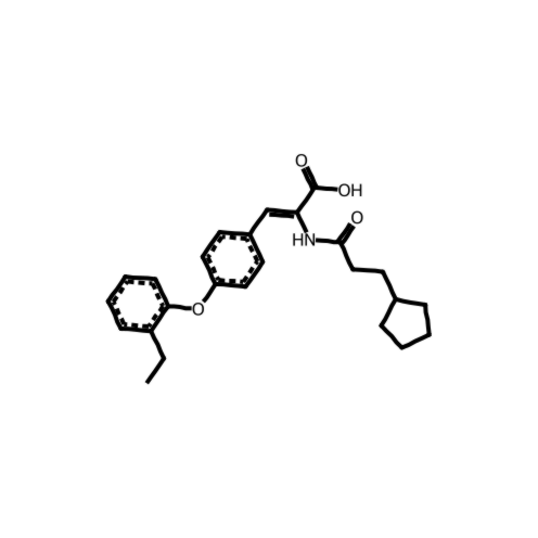 CCc1ccccc1Oc1ccc(C=C(NC(=O)CCC2CCCC2)C(=O)O)cc1